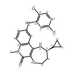 Cn1c(=O)c2c(c3cc(Nc4nc(Cl)ncc4Cl)ccc31)N[C@@H](C1CC1)CCO2